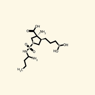 CCCC(N)NS(=O)(=O)N1C[C@H](CCCB(O)O)[C@](N)(C(=O)O)C1